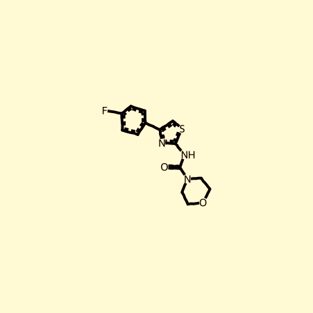 O=C(Nc1nc(-c2ccc(F)cc2)cs1)N1CCOCC1